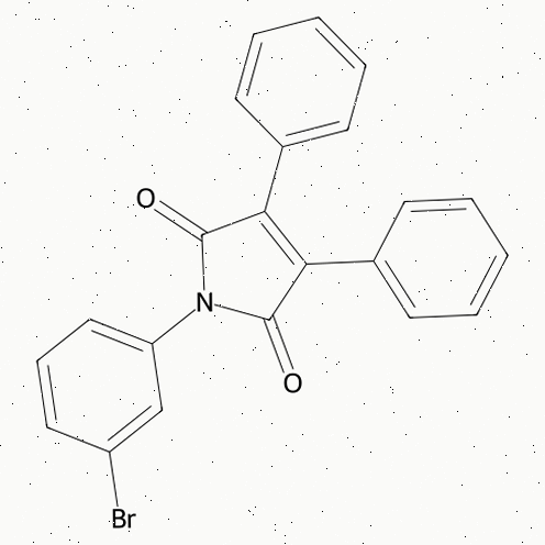 O=C1C(c2ccccc2)=C(c2ccccc2)C(=O)N1c1cccc(Br)c1